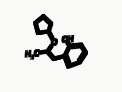 CC(Cc1ccccc1O)OC1CCCC1